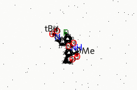 COC(=O)c1c(NS(=O)(=O)c2ccc(F)cc2/C=C\C2CN(C(=O)OC(C)(C)C)C2)ccc2c1OCC1CC21